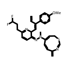 C=C/C(=C\C1N=C(CCC(F)F)C=C/C1=N/N(C)C1=C/CS/C=N\C(=C)/C=C\1)c1ccc(OC)cc1